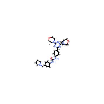 C[C@@H]1COCCN1c1nc(-c2ccc(NC(=O)Nc3ccc(CN4CCCC4)cc3)cc2)nc(N2C3CCC2COC3)n1